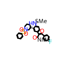 CNC(=O)c1c(-c2ccc(F)cc2)oc2cc(NSC)c([C@H]3CCCN(S(=O)(=O)c4ccccc4)C3)cc12